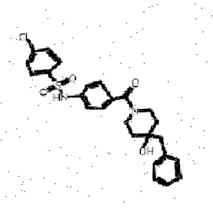 O=C(c1ccc(NS(=O)(=O)c2ccc(Cl)cc2)cc1)N1CCC(O)(Cc2ccccc2)CC1